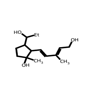 CCC(O)C1CCC(C)(O)C1C=CC(C)=CCO